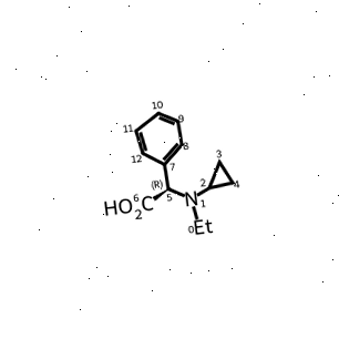 CCN(C1CC1)[C@@H](C(=O)O)c1ccccc1